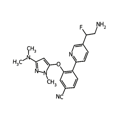 CN(C)c1cc(Oc2cc(C#N)ccc2-c2ccc(C(F)CN)cn2)n(C)n1